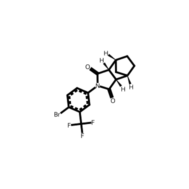 O=C1[C@@H]2[C@@H]3CC[C@@H](C3)[C@@H]2C(=O)N1c1ccc(Br)c(C(F)(F)F)c1